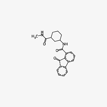 CNC(=O)C1CCCC(NC(=O)c2cccc3c2C(=O)c2ccccc2-3)C1